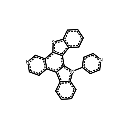 c1ccc2c(c1)sc1c3cnccc3c3c4ccccc4n(-c4ccncc4)c3c21